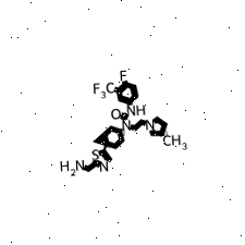 C[C@@H]1CCN(CCN(C(=O)Nc2ccc(F)c(C(F)(F)F)c2)[C@@H]2CC[C@]3(c4cnc(CN)s4)CC3C2)C1